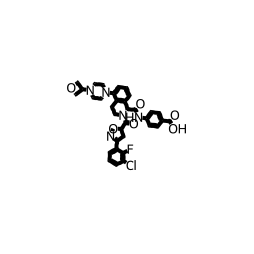 O=C(O)c1ccc(NC(=O)C2c3cccc(N4CCN(C5COC5)CC4)c3CCN2C(=O)C2CC(c3cccc(Cl)c3F)=NO2)cc1